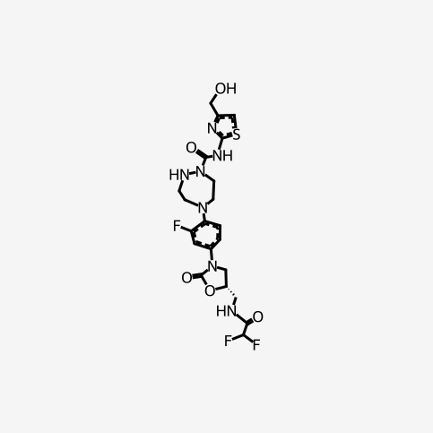 O=C(NC[C@H]1CN(c2ccc(N3CCNN(C(=O)Nc4nc(CO)cs4)CC3)c(F)c2)C(=O)O1)C(F)F